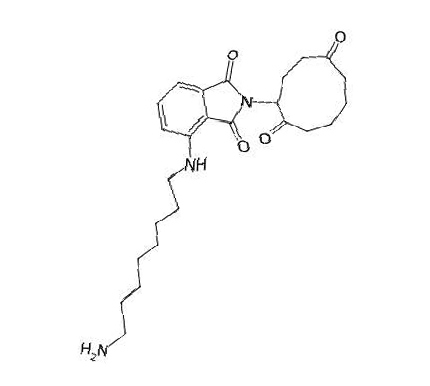 NCCCCCCCCNc1cccc2c1C(=O)N(C1CCC(=O)CCCCC1=O)C2=O